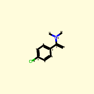 C=C(c1ccc(Cl)cc1)N(C)C